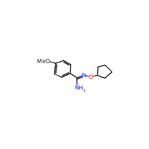 COc1ccc(C(N)=NOC2CCCC2)cc1